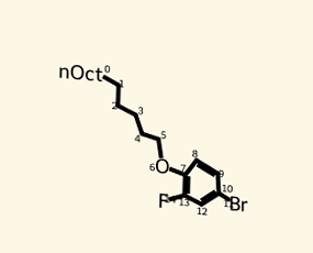 CCCCCCCCCCCCCOc1ccc(Br)cc1F